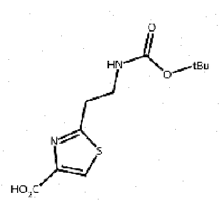 CC(C)(C)OC(=O)NCCc1nc(C(=O)O)cs1